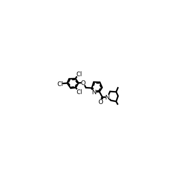 CC1CC(C)CN(C(=O)c2cccc(COc3c(Cl)cc(Cl)cc3Cl)n2)C1